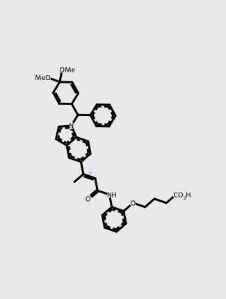 COC1(OC)C=CC(C(c2ccccc2)n2ccc3cc(/C(C)=C/C(=O)Nc4ccccc4OCCCC(=O)O)ccc32)C=C1